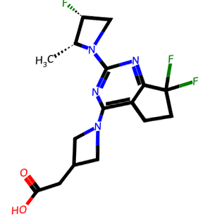 C[C@@H]1[C@H](F)CN1c1nc(N2CC(CC(=O)O)C2)c2c(n1)C(F)(F)CC2